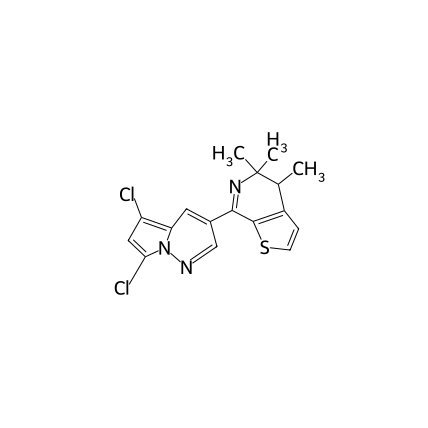 CC1c2ccsc2C(c2cnn3c(Cl)cc(Cl)c3c2)=NC1(C)C